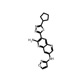 Nc1nc2cc(Nc3ccon3)cnc2cc1-c1nnc(C2CCCC2)s1